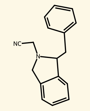 N#CCN1Cc2ccccc2C1Cc1ccccc1